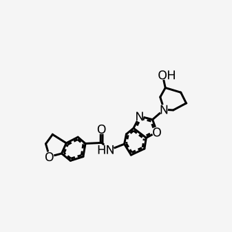 O=C(Nc1ccc2oc(N3CCCC(O)C3)nc2c1)c1ccc2c(c1)CCO2